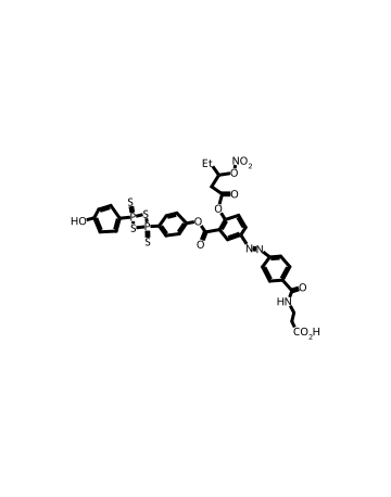 CCC(CC(=O)Oc1ccc(/N=N/c2ccc(C(=O)NCCC(=O)O)cc2)cc1C(=O)Oc1ccc(P2(=S)SP(=S)(c3ccc(O)cc3)S2)cc1)O[N+](=O)[O-]